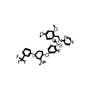 COc1ccc(CN(c2ccncn2)S(=O)(=O)c2ccc(O[C@H]3CC[C@H](c4cccc(C(F)(F)F)c4)C[C@@H]3N(C)C)cc2F)c(OC)c1